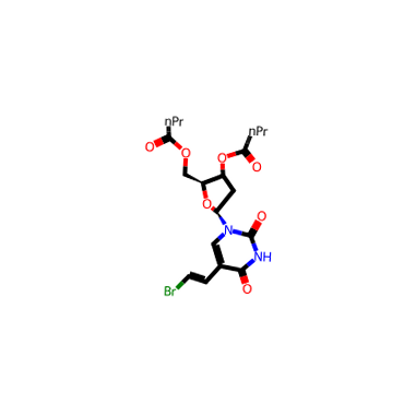 CCCC(=O)OC[C@@H]1O[C@H](n2cc(/C=C/Br)c(=O)[nH]c2=O)CC1OC(=O)CCC